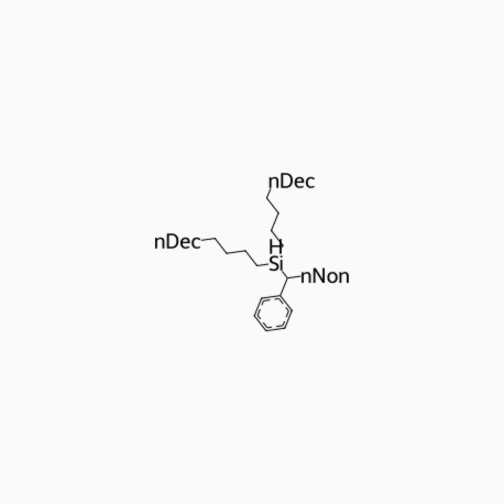 CCCCCCCCCCCCCC[SiH](CCCCCCCCCCCCCC)C(CCCCCCCCC)c1ccccc1